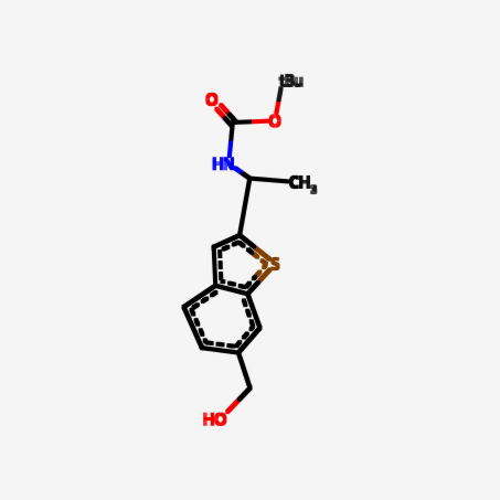 CC(NC(=O)OC(C)(C)C)c1cc2ccc(CO)cc2s1